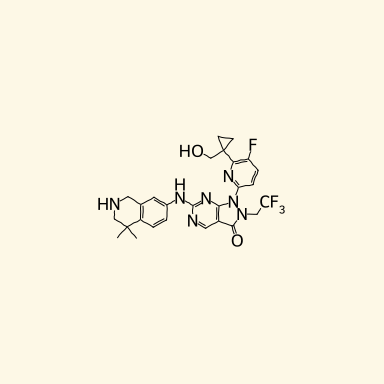 CC1(C)CNCc2cc(Nc3ncc4c(=O)n(CC(F)(F)F)n(-c5ccc(F)c(C6(CO)CC6)n5)c4n3)ccc21